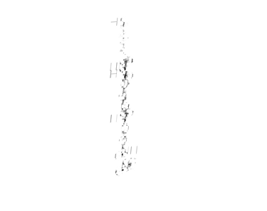 O=C(CCN1C(=O)C=CC1=O)NCCOCCOCCNC(=O)COCCOCCOCC(=O)NCNC(=O)CCCCCCCCCCS